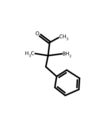 BC(C)(Cc1ccccc1)C(C)=O